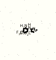 CCOC(=O)c1cn(C)nc1Nc1ccc(C(F)(F)F)cc1N